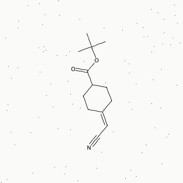 CC(C)(C)OC(=O)C1CCC(=CC#N)CC1